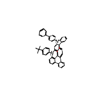 CC(C)(C)c1ccc(N(c2ccc3c4ccccc4n(-c4ccc(-c5ccccc5)cc4)c3c2)c2cccc3c4ccccc4c4ccccc4c23)cc1